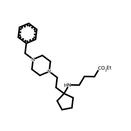 CCOC(=O)CCCNC1(CCN2CCN(Cc3ccccc3)CC2)CCCC1